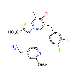 COc1cc(CN)ccn1.Cc1c(=O)c(Cc2ccc(F)c(F)c2)cn2cc(C(=O)O)sc12